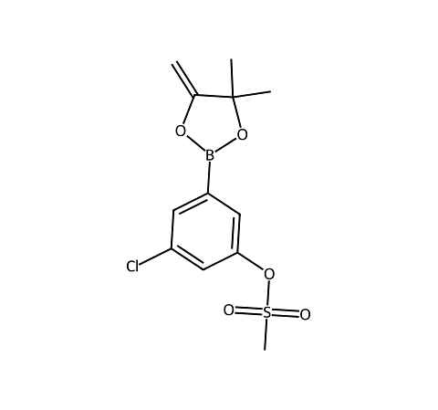 C=C1OB(c2cc(Cl)cc(OS(C)(=O)=O)c2)OC1(C)C